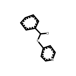 ClC(Sc1ccncc1)c1ccccc1